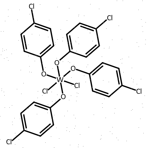 Clc1ccc([O][W]([Cl])([Cl])([O]c2ccc(Cl)cc2)([O]c2ccc(Cl)cc2)[O]c2ccc(Cl)cc2)cc1